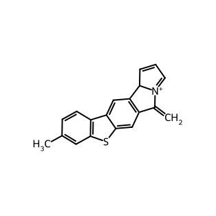 C=C1c2cc3sc4cc(C)ccc4c3cc2C2C=CC=[N+]12